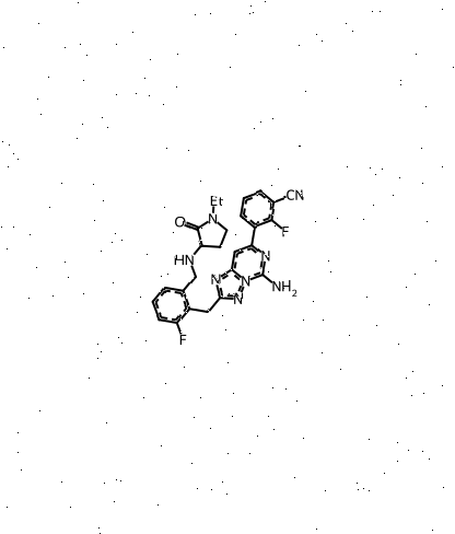 CCN1CCC(NCc2cccc(F)c2Cc2nc3cc(-c4cccc(C#N)c4F)nc(N)n3n2)C1=O